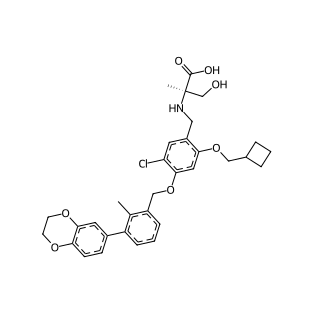 Cc1c(COc2cc(OCC3CCC3)c(CN[C@](C)(CO)C(=O)O)cc2Cl)cccc1-c1ccc2c(c1)OCCO2